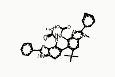 Cn1c(-c2ccccc2)nc2c(NC(=O)O)c(-c3ccc4[nH]c(-c5ccccc5)nc4c3NC(=O)O)c(C(C)(C)C)cc21